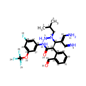 CC(C)CN(N)C(/C(C=N)=C/N)[C@H](C(=O)Nc1cc(F)cc(OC(F)(F)F)c1)c1ccccc1C=O